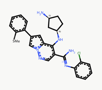 CSc1ccccc1-c1cc2c(N[C@@H]3CC[C@H](N)C3)c(/C(N)=N/c3ccccc3Cl)cnn2c1